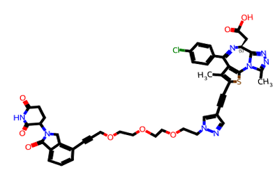 Cc1c(C#Cc2cnn(CCOCCOCCOCC#Cc3cccc4c3CN(C3CCC(=O)NC3=O)C4=O)c2)sc2c1C(c1ccc(Cl)cc1)=N[C@@H](CC(=O)O)c1nnc(C)n1-2